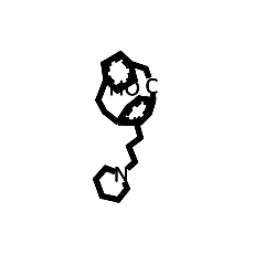 Oc1cc2c(CCCN3CCCCC3)cc1CCc1ccc(cc1)CC2